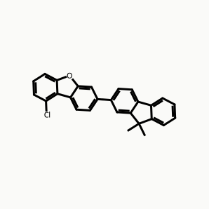 CC1(C)c2ccccc2-c2ccc(-c3ccc4c(c3)oc3cccc(Cl)c34)cc21